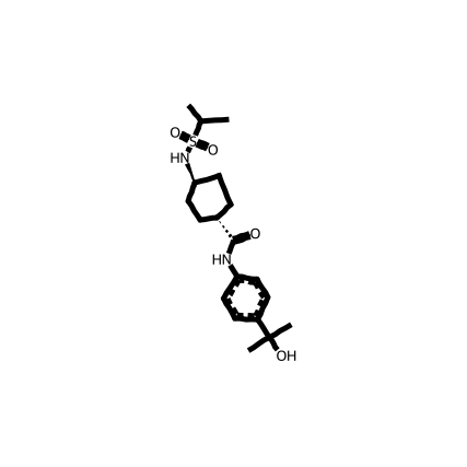 CC(C)S(=O)(=O)N[C@H]1CC[C@H](C(=O)Nc2ccc(C(C)(C)O)cc2)CC1